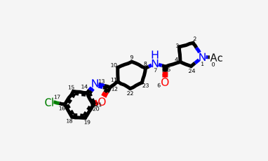 CC(=O)N1CCC(C(=O)NC2CCC(c3nc4cc(Cl)ccc4o3)CC2)C1